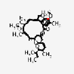 CCC(C)[C@H]1O[C@]2(C=C[C@@H]1C)C[C@@H]1C[C@@H](C/C=C(\C)[C@@H](OC)[C@@H](C)/C=C/C=C3\CO[C@@H]4[C@H](OC)C(C)=C[C@@H](C(=O)O1)[C@]34O)O2